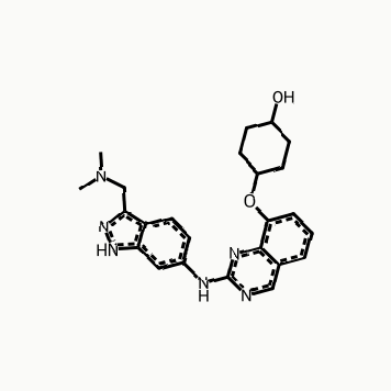 CN(C)Cc1n[nH]c2cc(Nc3ncc4cccc(OC5CCC(O)CC5)c4n3)ccc12